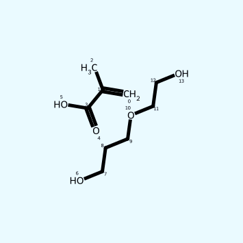 C=C(C)C(=O)O.OCCCOCCO